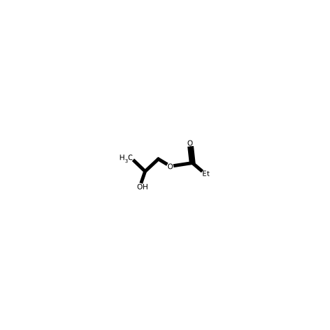 CCC(=O)OCC(C)O